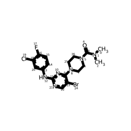 CN(C)C(=O)N1CCN(c2nc(Nc3ccc(F)c(Cl)c3)ncc2Br)CC1